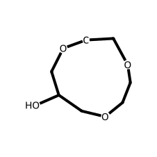 OC1COCCOCCOC1